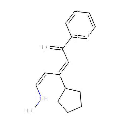 C=C(/C=C(\C=C/NC)C1CCCC1)c1ccccc1